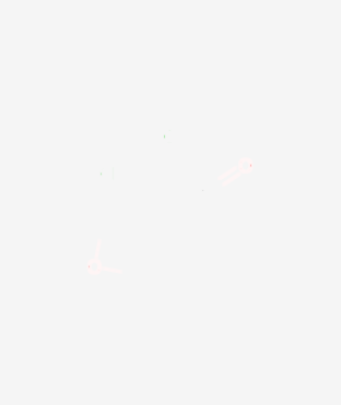 O=C1CC2(COC2)C1(Cl)Cl